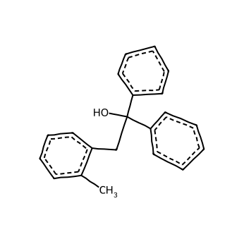 Cc1ccccc1CC(O)(c1ccccc1)c1ccccc1